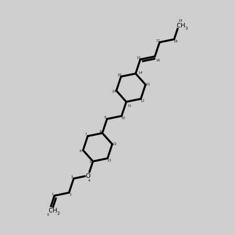 C=CCCOC1CCC(CCC2CCC(C=CCCC)CC2)CC1